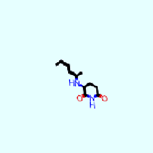 C/C=C\C=C(/C)NC1CCC(=O)NC1=O